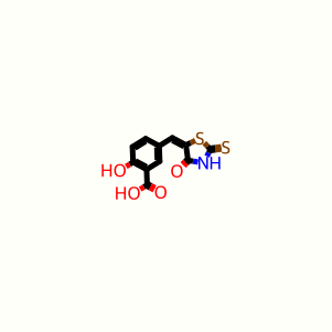 O=C1NC(=S)SC1=Cc1ccc(O)c(C(=O)O)c1